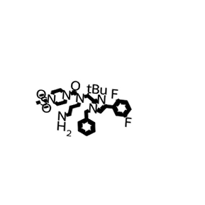 CC(C)(C)[C@H](c1nc(-c2cc(F)ccc2F)cn1Cc1ccccc1)N(CCCN)C(=O)N1CCN(S(C)(=O)=O)CC1